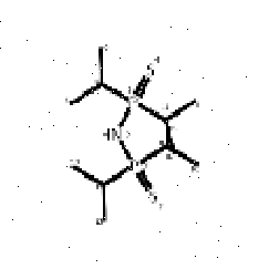 CC(C)P(=S)(NP(=S)(C(C)C)C(C)C)C(C)C